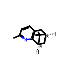 Cc1ccc2c(n1)[C@@H]1C[C@H](C2)C1(C)C